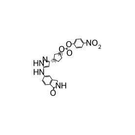 O=C(Oc1ccc([N+](=O)[O-])cc1)O[C@@H]1CC[C@H](c2cc(Nc3ccc4c(c3)CNC4=O)[nH]n2)C1